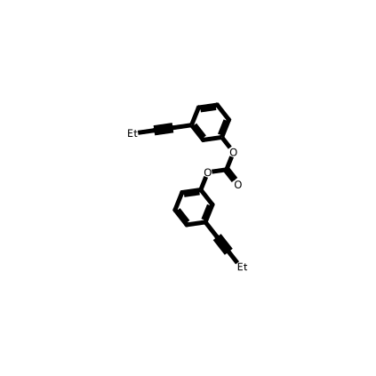 CCC#Cc1cccc(OC(=O)Oc2cccc(C#CCC)c2)c1